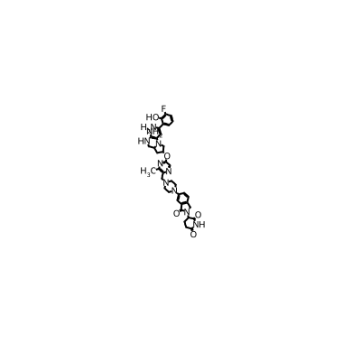 Cc1nc(OC2CC3CNC(N)=C(/C=C(\N)c4cccc(F)c4O)N3C2)cnc1CN1CCN(c2ccc3c(c2)C(=O)N(C2CCC(=O)NC2=O)C3)CC1